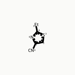 [C-]#[N+]c1csc(CC)n1